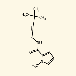 Cn1cccc1C(=O)NCC#CC(C)(C)C